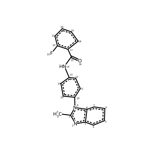 Cc1nc2ccccc2n1-c1ccc(NC(=O)c2ccccc2F)cc1